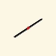 CCCCCCCCCCCCCCCCCOOOCCCCCCCCCCCCCCCCC